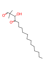 CCCCCCCCCCCCCC(=O)C(O)C(C)(C)C=O